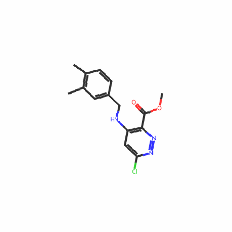 COC(=O)c1nnc(Cl)cc1NCc1ccc(C)c(C)c1